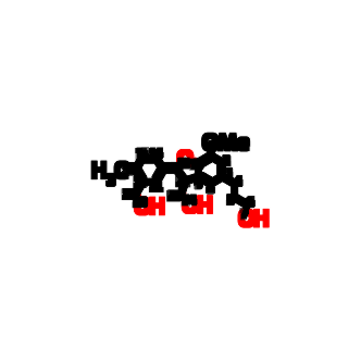 COc1cc(CCCO)cc2c1OC(c1ccc(C)c(CO)c1)C2CO